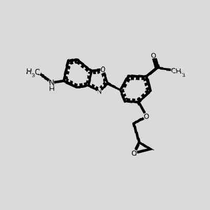 CNc1ccc2oc(-c3cc(OCC4CO4)cc(C(C)=O)c3)nc2c1